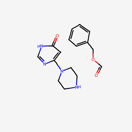 O=COCc1ccccc1.O=c1cc(N2CCNCC2)nc[nH]1